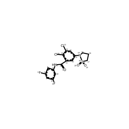 O=C(Nc1cc(F)cc(F)c1)c1cc(N2CCCS2(=O)=O)cc(Cl)c1Cl